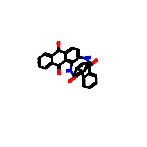 O=c1c2ccccc2c(=O)c2c1ccc1[nH]c3ccc([nH]c12)c1c(=O)c2ccccc2c(=O)c31